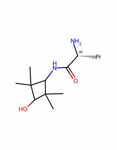 CCC[C@@H](N)C(=O)NC1C(C)(C)C(O)C1(C)C